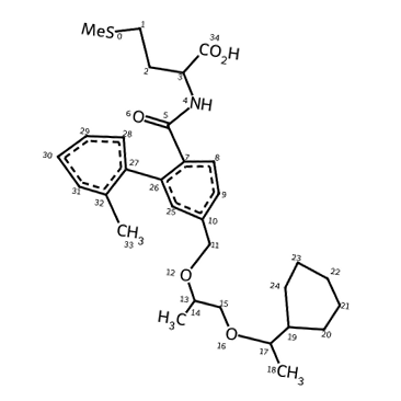 CSCCC(NC(=O)c1ccc(COC(C)COC(C)C2CCCCC2)cc1-c1ccccc1C)C(=O)O